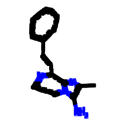 Cc1nc2c(/C=C/c3ccccc3)nccn2c1N